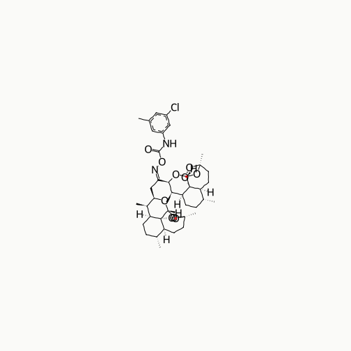 Cc1cc(Cl)cc(NC(=O)O/N=C(/C[C@H]2O[C@@H]3O[C@]4(C)CC[C@H]5[C@H](C)CC[C@@H]([C@H]2C)[C@@]35OO4)[C@H]2O[C@@H]3O[C@]4(C)CC[C@H]5[C@H](C)CC[C@@H]([C@H]2C)[C@@]35OO4)c1